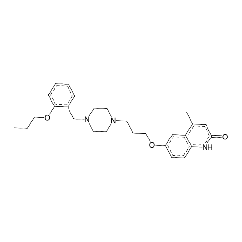 CCCOc1ccccc1CN1CCN(CCCOc2ccc3[nH]c(=O)cc(C)c3c2)CC1